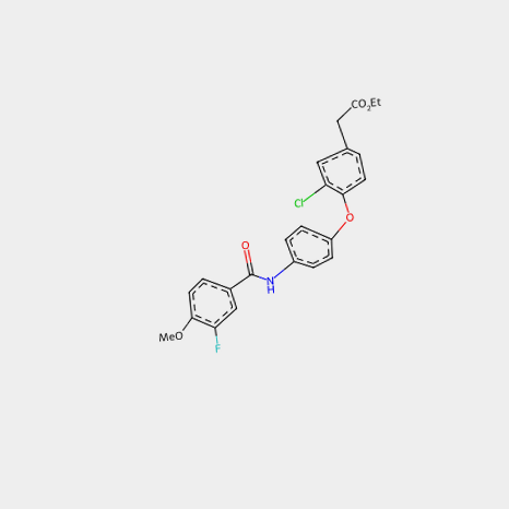 CCOC(=O)Cc1ccc(Oc2ccc(NC(=O)c3ccc(OC)c(F)c3)cc2)c(Cl)c1